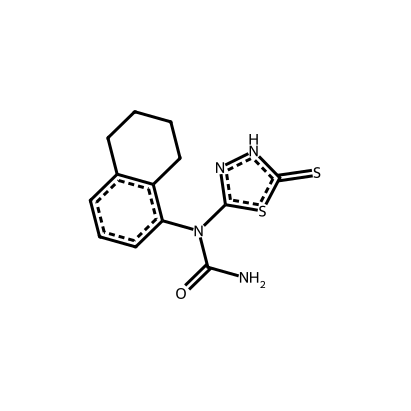 NC(=O)N(c1n[nH]c(=S)s1)c1cccc2c1CCCC2